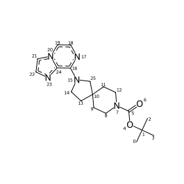 CC(C)(C)OC(=O)N1CCC2(CC1)CCN(c1nccn3ccnc13)C2